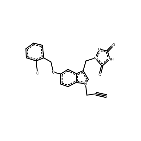 C#CCn1cc(Cn2oc(=O)[nH]c2=O)c2cc(OCc3ccccc3Cl)ccc21